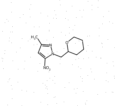 Cc1cc([N+](=O)[O-])n(CC2CCCCO2)n1